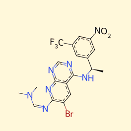 C[C@@H](Nc1ncnc2nc(/N=C\N(C)C)c(Br)cc12)c1cc([N+](=O)[O-])cc(C(F)(F)F)c1